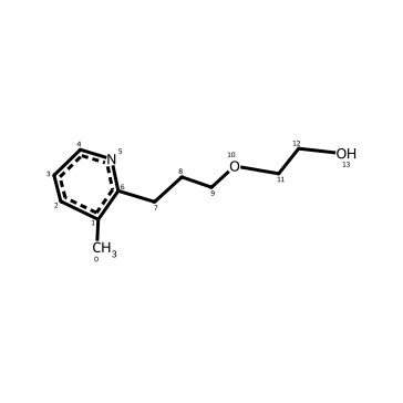 Cc1cccnc1CCCOCCO